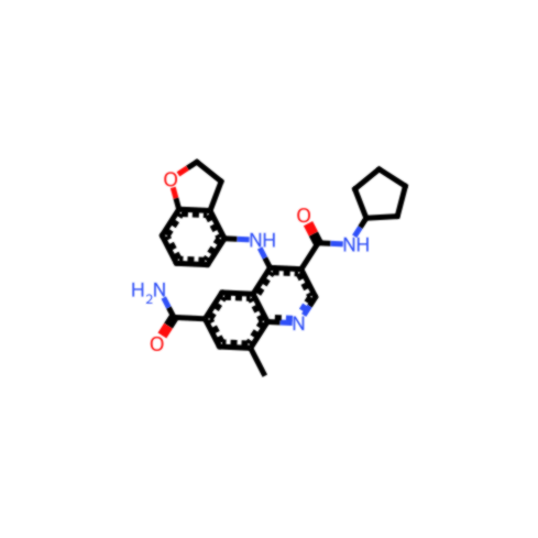 Cc1cc(C(N)=O)cc2c(Nc3cccc4c3CCO4)c(C(=O)NC3CCCC3)cnc12